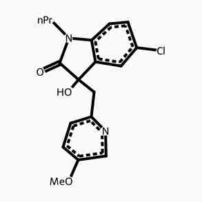 CCCN1C(=O)C(O)(Cc2ccc(OC)cn2)c2cc(Cl)ccc21